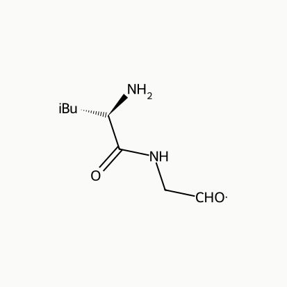 CC[C@@H](C)[C@@H](N)C(=O)NC[C]=O